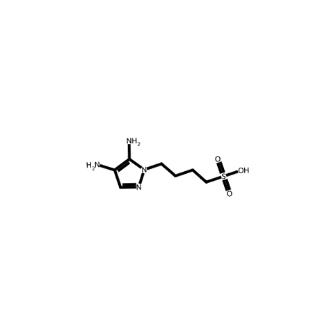 Nc1cnn(CCCCS(=O)(=O)O)c1N